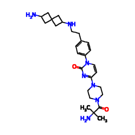 CC(C)(N)C(=O)N1CCN(c2ccn(-c3ccc(CCNC4CC5(CC(N)C5)C4)cc3)c(=O)n2)CC1